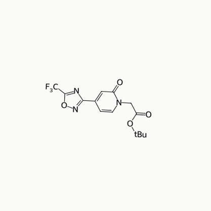 CC(C)(C)OC(=O)Cn1ccc(-c2noc(C(F)(F)F)n2)cc1=O